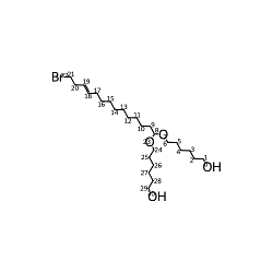 OCCCCCCOC(CCCCCCCCC/C=C/CCBr)OCCCCCCO